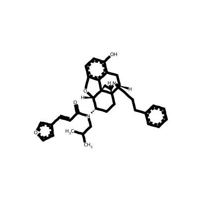 CC(C)CN(C(=O)/C=C/c1ccoc1)[C@H]1CC[C@H]2[C@H]3Cc4c(O)ccc5c4[C@@]2(CCN3CCc2ccccc2)[C@H]1O5